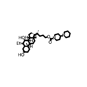 CC[C@@H]1C2C[C@H](O)CC[C@@]2(C)[C@H]2CCC3(C)[C@@H]([C@H](C)CCCOC(=O)N4CCC(N5CCCCC5)CC4)CC[C@H]3[C@H]2[C@@H]1O